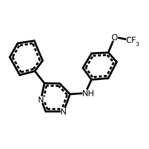 FC(F)(F)Oc1ccc(Nc2cc(-c3ccccc3)ncn2)cc1